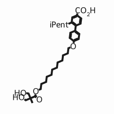 CCCC(C)c1cc(C(=O)O)ccc1-c1ccc(OCCCCCCCCCCCCOC(=O)C(C)(CO)CO)cc1